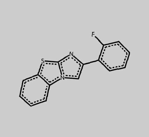 Fc1ccccc1-c1cn2c(n1)sc1ccccc12